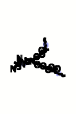 CCC/C=C/CC(C)CC(=O)OCCOCCN(CCOCCOCCOC(=O)CC(C=O)C/C=C/CCC)c1ccc(/N=N/c2sc(C#N)c(C)c2C#N)c(C)c1